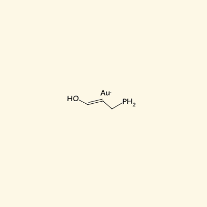 OC=CCP.[Au]